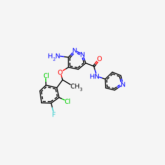 CC(Oc1cc(C(=O)Nc2ccncc2)nnc1N)c1c(Cl)ccc(F)c1Cl